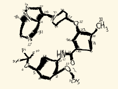 COc1ccc(OC(F)(F)F)cc1NC(=O)c1ccc(C)c(OC2CN(c3cnn4ccncc34)C2)c1